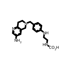 Nc1cnc2c(c1)CN(Cc1ccc(NCCNC(=O)O)cc1)CC2